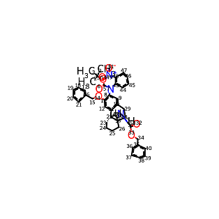 CC(C)(C)OC(=O)N(c1cc2c(cc1OCc1ccccc1)[C@]13CCCC[C@@H]1[C@H](C2)N(C(=O)OCc1ccccc1)CC3)c1ccccc1[N+](=O)[O-]